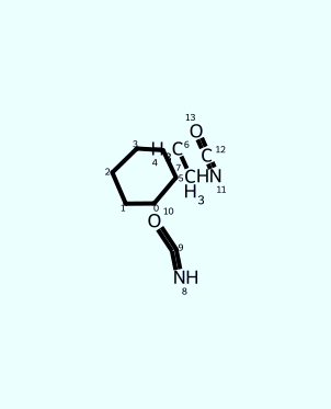 C1CCCCC1.CC.N=C=O.N=C=O